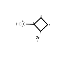 O=C(O)C1CCC1.[Zr]